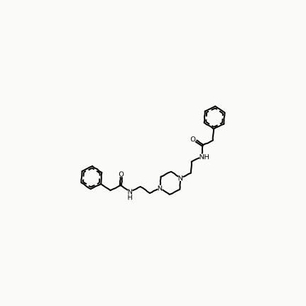 O=C(Cc1ccccc1)NCCN1CCN(CCNC(=O)Cc2ccccc2)CC1